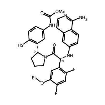 CCOc1cc([C@@H](Nc2ccc3c(N)nccc3c2)C(=O)N2CCC[C@@H]2c2cc(NC(=O)OC)ccc2S)c(F)cc1F